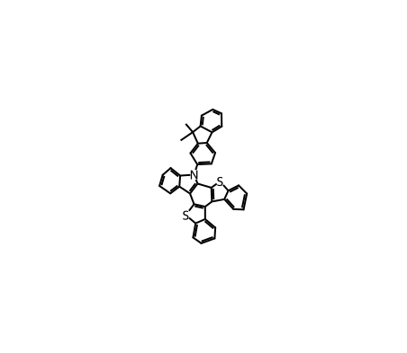 CC1(C)c2ccccc2-c2ccc(-n3c4ccccc4c4c5sc6ccccc6c5c5c6ccccc6sc5c43)cc21